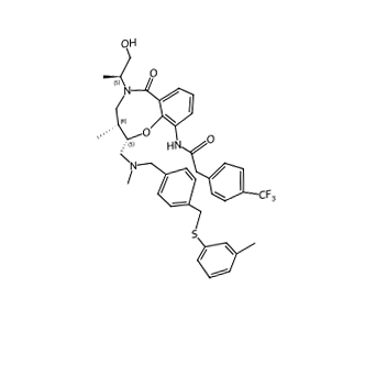 Cc1cccc(SCc2ccc(CN(C)C[C@H]3Oc4c(NC(=O)Cc5ccc(C(F)(F)F)cc5)cccc4C(=O)N([C@@H](C)CO)C[C@H]3C)cc2)c1